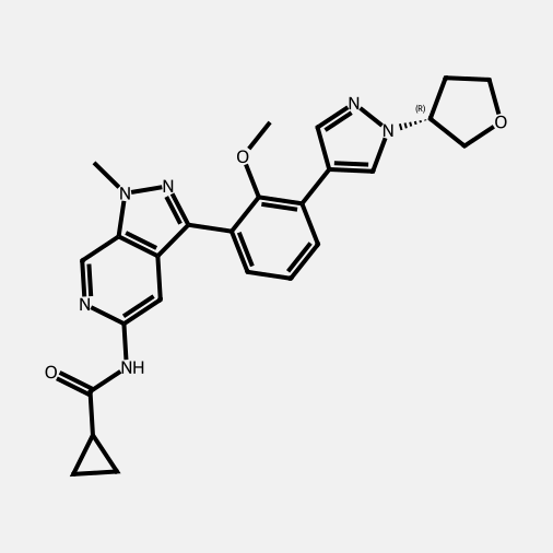 COc1c(-c2cnn([C@@H]3CCOC3)c2)cccc1-c1nn(C)c2cnc(NC(=O)C3CC3)cc12